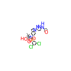 CC(C)(C)[C@H](C(=O)O)N(c1ccc2c(ccn2-c2ccc(NC3CCOC3)nn2)c1)S(=O)(=O)c1cc(Cl)cc(Cl)c1